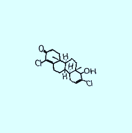 C[C@]12CCC(=O)C(Cl)=C1CC[C@@H]1[C@@H]2CC[C@]2(C)C(O)C(Cl)=CC[C@@H]12